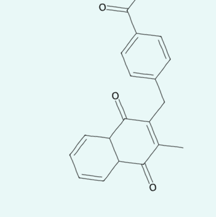 CC1=C(Cc2ccc(C(=O)O)cc2)C(=O)C2C=CC=CC2C1=O